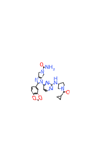 NC(=O)N1Cc2nc(-c3ccc4c(c3)OCO4)n(-c3ccnc(N[C@@H]4CCN(C(=O)C5CC5)C4)n3)c2C1